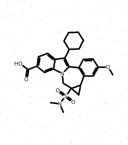 COc1ccc2c(c1)C1CC1(S(=O)(=O)N(C)C)Cn1c-2c(C2CCCCC2)c2ccc(C(=O)O)cc21